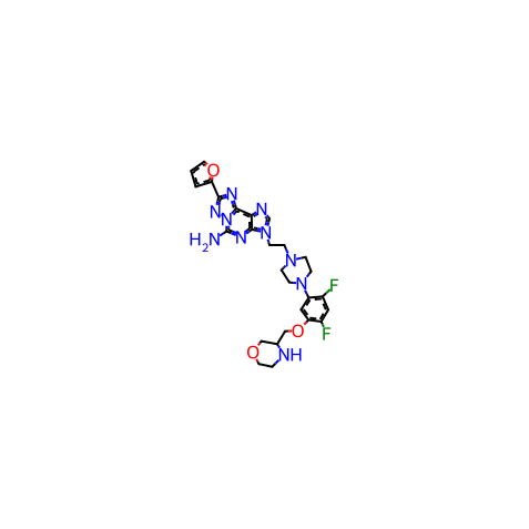 Nc1nc2c(ncn2CCN2CCN(c3cc(OCC4COCCN4)c(F)cc3F)CC2)c2nc(-c3ccco3)nn12